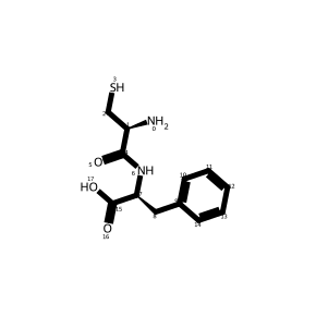 N[C@H](CS)C(=O)N[C@@H](Cc1ccccc1)C(=O)O